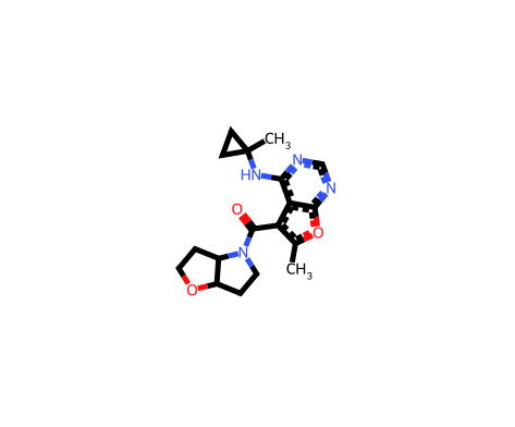 Cc1oc2ncnc(NC3(C)CC3)c2c1C(=O)N1CCC2OCCC21